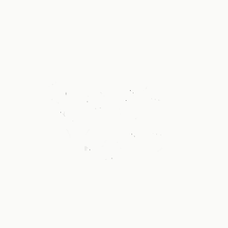 Cc1ccc(NC2=CCC(Nc3ccc(C)cc3)(Oc3ccc(OC4(Nc5ccc(C)cc5)C=CC(Nc5ccc(C)cc5)=CC4)cc3)C=C2)cc1